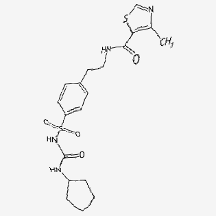 Cc1ncsc1C(=O)NCCc1ccc(S(=O)(=O)NC(=O)NC2CCCC2)cc1